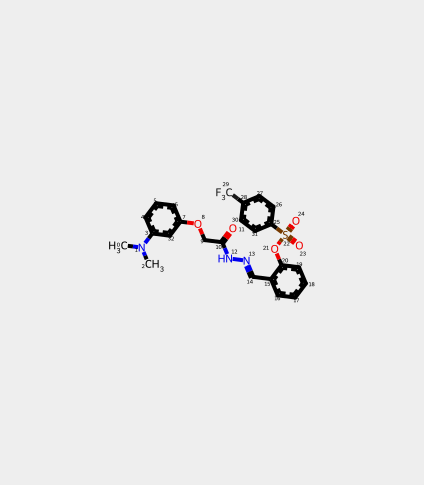 CN(C)c1cccc(OCC(=O)NN=Cc2ccccc2OS(=O)(=O)c2ccc(C(F)(F)F)cc2)c1